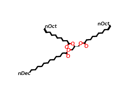 CCCCCCCC/C=C\CCCCCCCC(=O)OC[C@H](COC(=O)CCCCCCCCCCCCCCCCCCCCC)OC(=O)CCCCCCC/C=C\CCCCCCCC